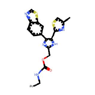 Cc1csc(-c2[nH]c(COC(=O)NCC(C)C)nc2-c2ccc3ncsc3c2)n1